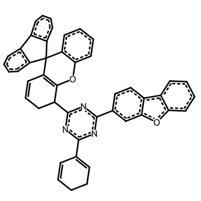 C1=CC(c2nc(-c3ccc4c(c3)oc3ccccc34)nc(C3CC=CC4=C3Oc3ccccc3C43c4ccccc4-c4ccccc43)n2)=CCC1